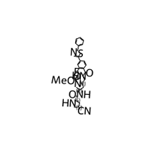 COC(=O)N1C[C@H](NC(=O)[C@@H]2C[C@H](C#N)CN2)C[C@@H]1CNC(=O)c1ccc(-c2cnc(-c3ccccc3)s2)cc1F